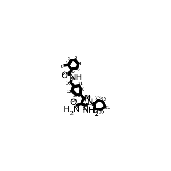 Cc1ccccc1C(=O)NCc1ccc(-c2nn(C3CCCCC3)c(N)c2C(N)=O)cc1